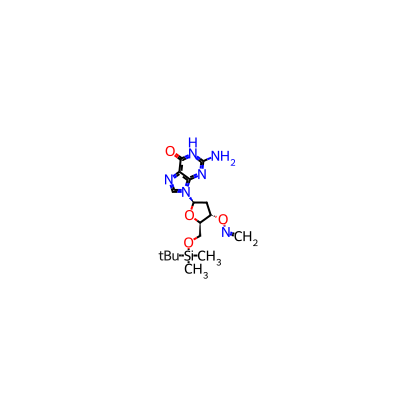 C=NO[C@H]1C[C@H](n2cnc3c(=O)[nH]c(N)nc32)O[C@@H]1CO[Si](C)(C)C(C)(C)C